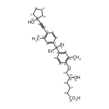 CCC(CC)(c1ccc(C#CC2(O)CCCC2)c(C)c1)c1ccc(OC[C@@H](O)CCCC(=O)O)c(C)c1